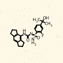 CC(C)(O)c1ccc(S(N)(=O)=NC(=O)Nc2c3c(cc4c2CCC4)CCC3)c(F)c1